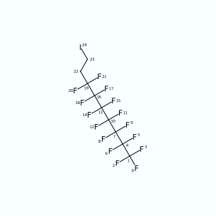 FC(F)(F)C(F)(F)C(F)(F)C(F)(F)C(F)(F)C(F)(F)C(F)(F)CCI